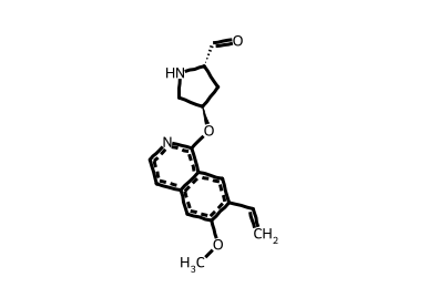 C=Cc1cc2c(O[C@H]3CN[C@H](C=O)C3)nccc2cc1OC